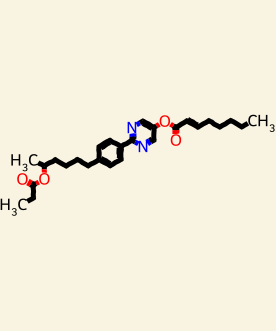 CCCCCC=CC(=O)Oc1cnc(-c2ccc(CCCCC(C)OC(=O)CC)cc2)nc1